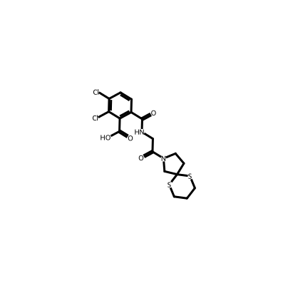 O=C(NCC(=O)N1CCC2(C1)SCCCS2)c1ccc(Cl)c(Cl)c1C(=O)O